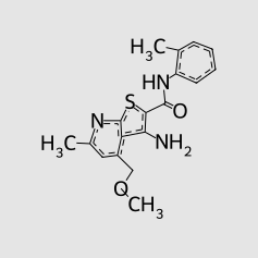 COCc1cc(C)nc2sc(C(=O)Nc3ccccc3C)c(N)c12